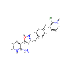 C=N/C(F)=C(\C=C/C)Cc1ccc(Cc2cc(-c3cccnc3N)on2)cc1